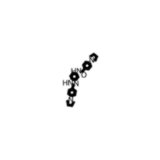 O=C(Nc1ccc2[nH]c(-c3ccc(N4CCCC4)cc3)nc2c1)c1ccc(N2CCCC2)cc1